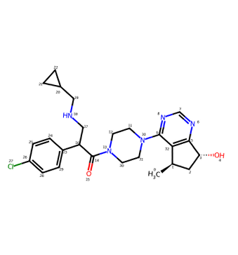 C[C@@H]1C[C@@H](O)c2ncnc(N3CCN(C(=O)C(CNCC4CC4)c4ccc(Cl)cc4)CC3)c21